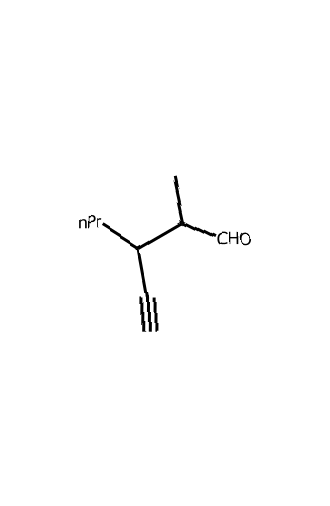 C#CC(CCC)C(C)C=O